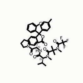 Cc1ccc(C(OC(=O)C[C@H](NC(=O)[C@H](C(C)C)N(C)C(=O)C(C)(C)N(C)C(=O)C(F)(F)F)C(=O)N2CCCC2)(c2ccccc2)c2ccccc2Cl)cc1